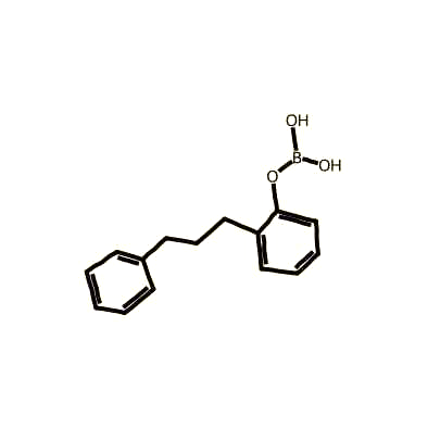 OB(O)Oc1ccccc1CCCc1ccccc1